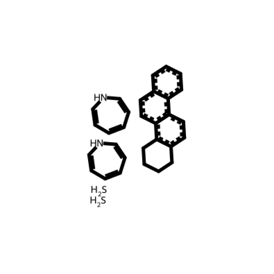 C1=CC=CNC=C1.C1=CC=CNC=C1.S.S.c1ccc2c(c1)ccc1c3c(ccc12)CCCC3